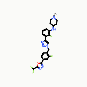 CC(C)N1CCC(Nc2cccc(-c3cn(Cc4ccc(-c5nnc(C(F)F)o5)cc4F)nn3)c2F)CC1